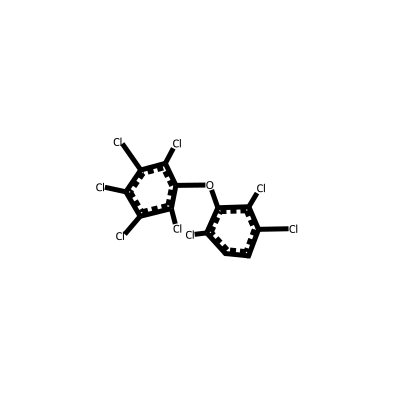 Clc1ccc(Cl)c(Oc2c(Cl)c(Cl)c(Cl)c(Cl)c2Cl)c1Cl